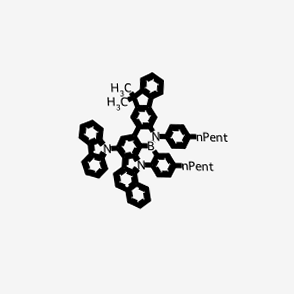 CCCCCc1ccc(N2B3c4cc(CCCCC)ccc4-n4c5c3c(cc(-n3c6ccccc6c6ccccc63)c5c3ccc5ccccc5c34)-c3cc4c(cc32)-c2ccccc2C4(C)C)cc1